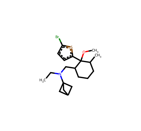 CCN(CC1CCCC(C)C1(OC)c1ccc(Br)s1)C12CC(C1)C2